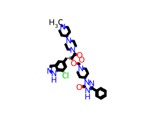 CN1CCC(N2CCN(C(=O)[C@@H](Cc3cc(Cl)c4[nH]ncc4c3)OC(=O)N3CCC(n4nc(-c5ccccc5)[nH]c4=O)CC3)CC2)CC1